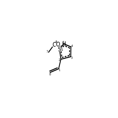 C=Cc1cccs1.CC(=O)O